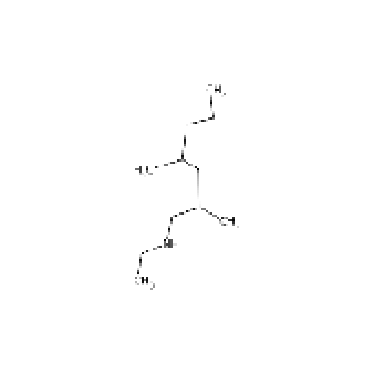 CCCC(C)CC(C)CNCC